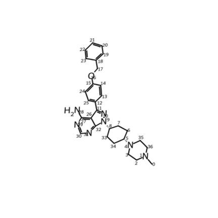 CN1CCN([C@H]2CC[C@@H](n3nc(-c4ccc(OCc5ccccc5)cc4)c4c(N)ncnc43)CC2)CC1